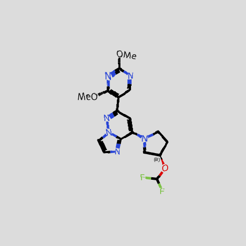 COc1ncc(-c2cc(N3CC[C@@H](OC(F)F)C3)c3nccn3n2)c(OC)n1